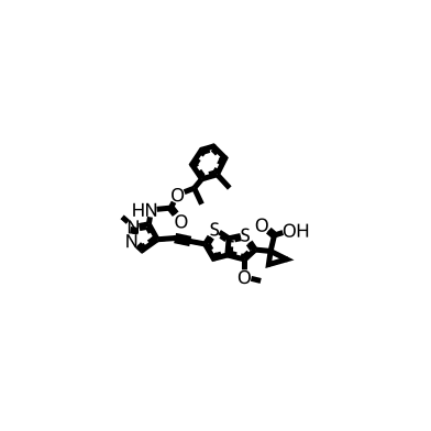 COc1c(C2(C(=O)O)CC2)sc2sc(C#Cc3cnn(C)c3NC(=O)OC(C)c3ccccc3C)cc12